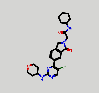 O=C(CN1Cc2ccc(-c3nc(NC4CCOCC4)ncc3Cl)cc2C1=O)NC1CCCCC1